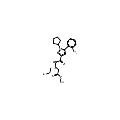 CC(=O)CC[C@@H](CC(=O)OC(C)(C)C)NC(=O)c1cc(-c2ccccc2C(F)(F)F)n(C2CCCC2)n1